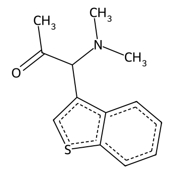 CC(=O)C(c1csc2ccccc12)N(C)C